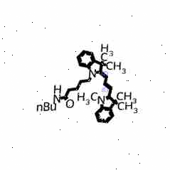 CCCCNC(=O)CCCCN1/C(=C\C=C\C2=[N+](C)c3ccccc3C2(C)C)C(C)(C)c2ccccc21